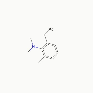 CC(=O)Cc1cccc(C)c1N(C)C